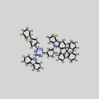 C1=C(c2nc(-c3ccc4c(c3)sc3ccccc34)nc(-n3c4ccccc4c4ccccc43)n2)C=C(n2c3ccccc3c3ccc4c(c32)-c2ccccc2C42c3ccccc3-c3ccccc32)CC1